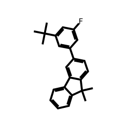 CC(C)(C)c1cc(F)cc(-c2ccc3c(c2)-c2ccccc2C3(C)C)c1